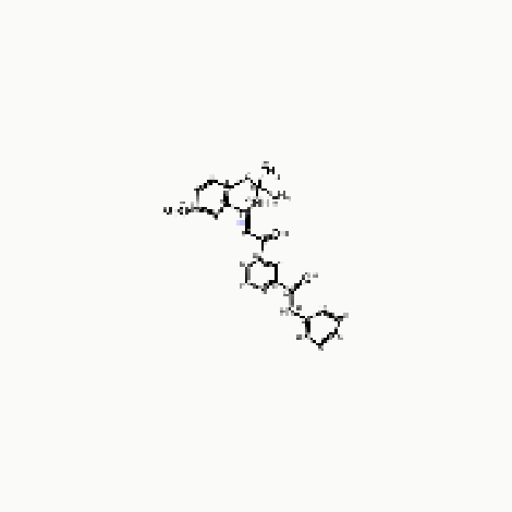 COc1ccc2c(c1)/C(=C/C(=O)c1cccc(C(=O)Nc3ccccc3)c1)NC(C)(C)C2